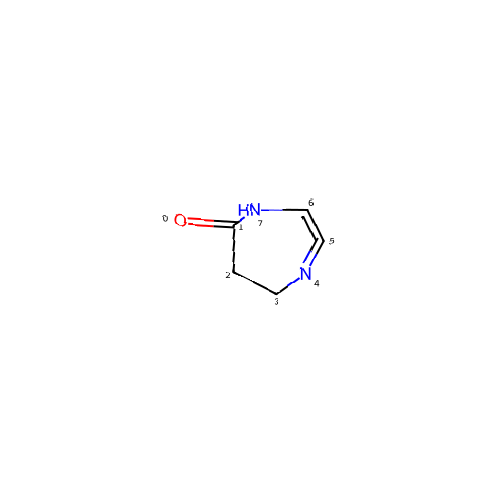 O=C1CCN=C=CN1